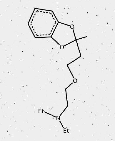 CCN(CC)CCOCCC1(C)Oc2ccccc2O1